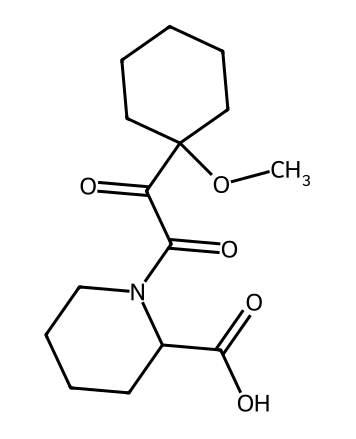 COC1(C(=O)C(=O)N2CCCCC2C(=O)O)CCCCC1